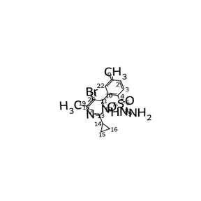 Cc1ccc(S(=O)(=O)NN)c(-c2nc(C3CC3)nc(C)c2Br)c1